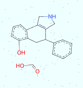 O=CO.Oc1cccc2c1CC(c1ccccc1)C1=C2CNC1